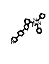 c1ccc(-c2nc(-c3ccccc3)nc(-c3cccc4cc(-c5ccc(-c6ccncc6)cc5)ccc34)n2)cc1